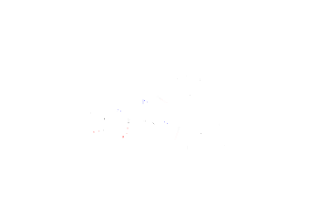 C[C@H](NC(=O)[C@H](CNC(=O)OC(C)(C)C)NC(=O)OC(C)(C)C)C(=O)O